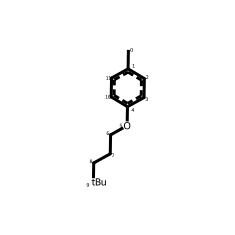 Cc1ccc(OCCCC(C)(C)C)cc1